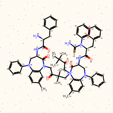 Cc1ccc2c(c1)N(CC(=O)C(C)(C)C[N+]1(CC(=O)C(C)(C)C)C(=O)C(NC(=O)[C@H](Cc3ccccc3)N(C(N)=S)c3ccccc3)CN(c3ccccc3)c3ccc(C)cc31)C(=O)C(NC(=O)[C@@H](N)Cc1ccccc1)CN2c1ccccc1